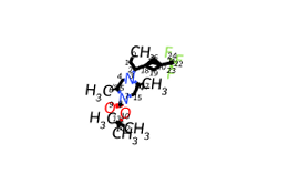 CCC(N1C[C@H](C)N(C(=O)OC(C)(C)C)C[C@H]1C)C12CC(C(F)(F)F)(C1)C2